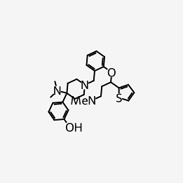 CNCCC(Oc1ccccc1CN1CCC(c2cccc(O)c2)(N(C)C)CC1)c1cccs1